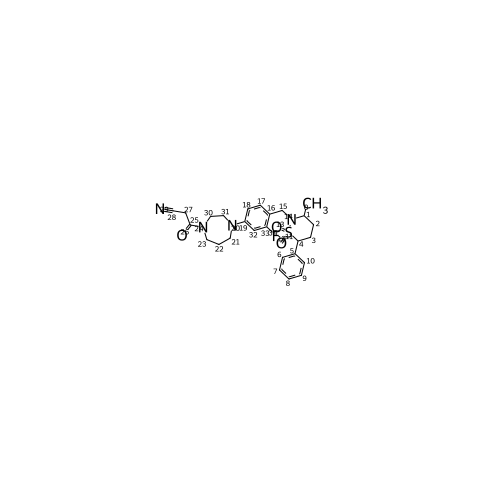 CC1CCC(c2ccccc2)S(=O)(=O)N1Cc1ccc(N2CCCN(C(=O)CC#N)CC2)cc1F